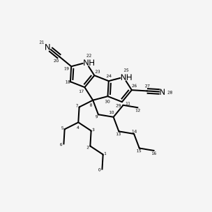 CCCCC(CC)CC1(CC(CC)CCCC)c2cc(C#N)[nH]c2-c2[nH]c(C#N)cc21